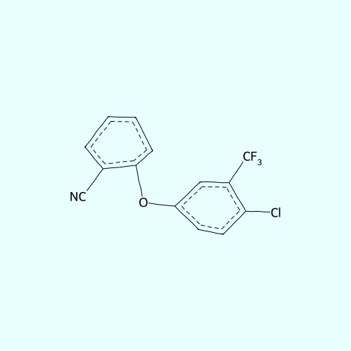 N#Cc1ccccc1Oc1ccc(Cl)c(C(F)(F)F)c1